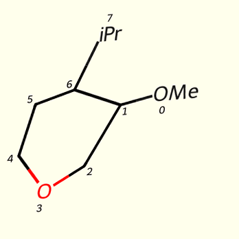 COC1COCCC1C(C)C